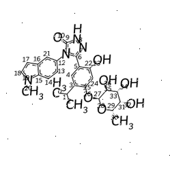 CC(C)c1cc(-c2n[nH]c(=O)n2-c2ccc3c(ccn3C)c2)c(O)cc1O[C@@H]1O[C@@H](C)[C@@H](O)[C@@H](O)[C@@H]1O